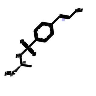 CCCC/C=C/c1ccc(S(=O)(=O)N[C@H](C)C(=O)O)cc1